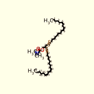 CCCCC/C=C\C/C=C\CCCCCCCCSSCC(COC(=O)CN(C)C)SSCCCCCCCC/C=C\C/C=C\CCCCC